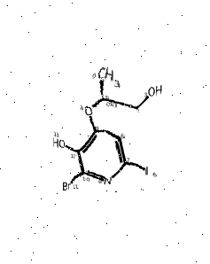 C[C@@H](CO)Oc1cc(I)nc(Br)c1O